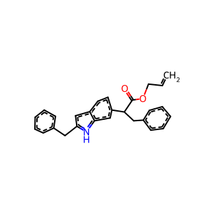 C=CCOC(=O)C(Cc1ccccc1)c1ccc2cc(Cc3ccccc3)[nH]c2c1